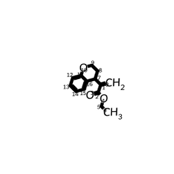 C=C(C(=O)OCC)C1CCOc2ccccc21